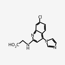 O=C(O)CNc1cc(-n2ccnc2)c2ccc(Cl)cc2n1